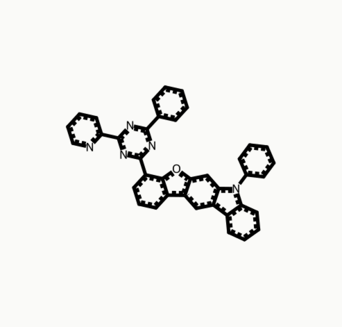 c1ccc(-c2nc(-c3ccccn3)nc(-c3cccc4c3oc3cc5c(cc34)c3ccccc3n5-c3ccccc3)n2)cc1